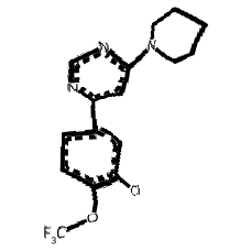 FC(F)(F)Oc1ccc(-c2cc(N3CCCCC3)ncn2)cc1Cl